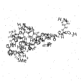 CSCC[C@H](NC(=O)[C@H](C)N)C(=O)N[C@@H](CS)C(=O)NCC(=O)N1CCC[C@H]1C(=O)N[C@@H](CCCNC(=N)N)C(=O)N[C@@H](CS)C(=O)N[C@@H](CC(C)C)C(=O)N[C@@H](Cc1ccccc1)C(=O)N[C@@H](CC(C)C)C(=O)NCC(=O)NCC(=O)N[C@@H](CCCCN)C(=O)O